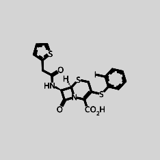 O=C(Cc1cccs1)N[C@@H]1C(=O)N2C(C(=O)O)=C(Sc3ccccc3I)CS[C@H]12